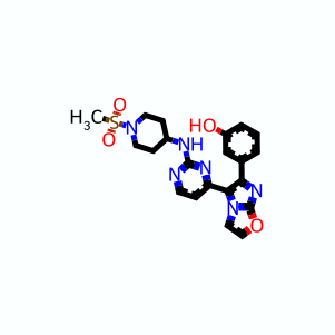 CS(=O)(=O)N1CCC(Nc2nccc(-c3c(-c4cccc(O)c4)nc4occn34)n2)CC1